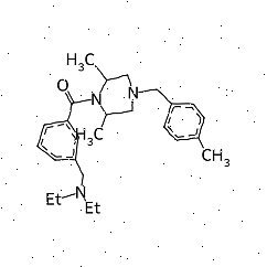 CCN(CC)Cc1cccc(C(=O)N2C(C)CN(Cc3ccc(C)cc3)CC2C)c1